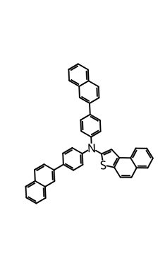 c1ccc2cc(-c3ccc(N(c4ccc(-c5ccc6ccccc6c5)cc4)c4cc5c(ccc6ccccc65)s4)cc3)ccc2c1